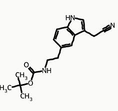 CC(C)(C)OC(=O)NCCc1ccc2[nH]cc(CC#N)c2c1